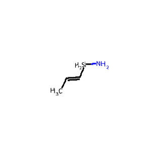 CC=C[SiH2]N